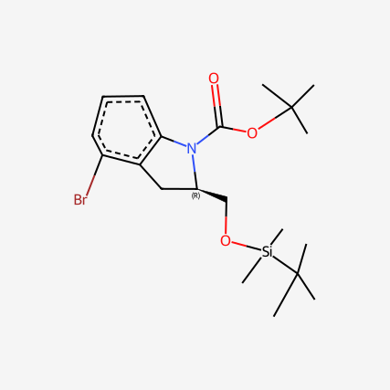 CC(C)(C)OC(=O)N1c2cccc(Br)c2C[C@@H]1CO[Si](C)(C)C(C)(C)C